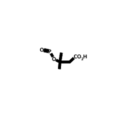 CC(C)(CC(=O)O)OP=O